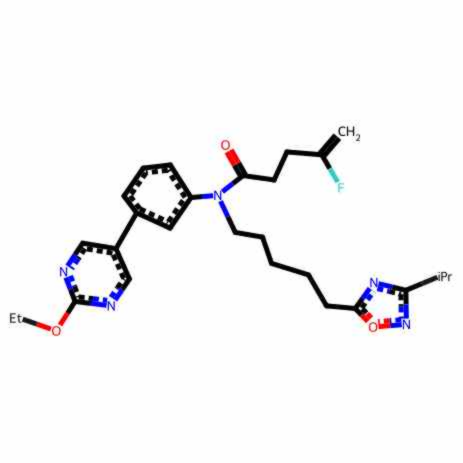 C=C(F)CCC(=O)N(CCCCCc1nc(C(C)C)no1)c1cccc(-c2cnc(OCC)nc2)c1